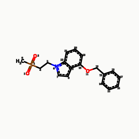 CS(=O)(=O)CCn1ccc2c(OCc3ccccc3)cccc21